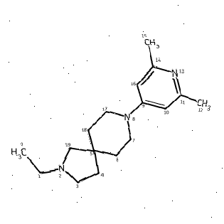 CCN1CCC2(CCN(c3cc(C)nc(C)c3)CC2)C1